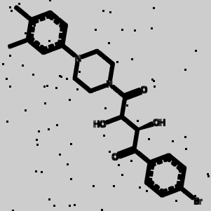 Cc1ccc(N2CCN(C(=O)C(O)[C@@H](O)C(=O)c3ccc(Br)cc3)CC2)cc1C